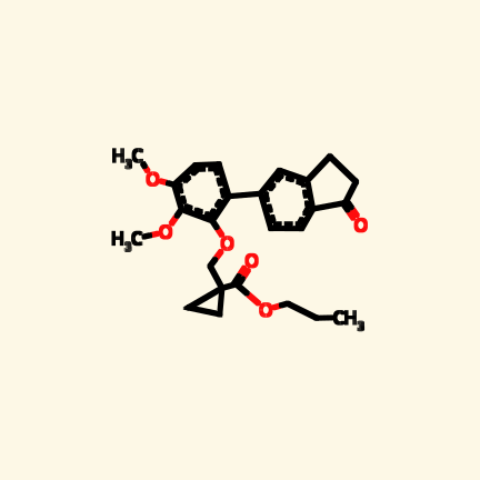 CCCOC(=O)C1(COc2c(-c3ccc4c(c3)CCC4=O)ccc(OC)c2OC)CC1